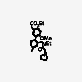 CCOC(=O)Cc1ccc(OC)c(-c2ccc(C)cc2CN(CC)C(=O)CN2CCCC2)c1